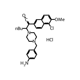 CCCCC(C(=C=O)c1ccc2c(Cl)c(OC)ccc2c1)N1CCN(Cc2ccc(N)cc2)CC1.Cl